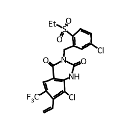 C=Cc1c(C(F)(F)F)cc2c(=O)n(Cc3cc(Cl)ccc3S(=O)(=O)CC)c(=O)[nH]c2c1Cl